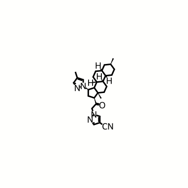 Cc1cnn([C@@H]2C[C@H](C(=O)Cn3cc(C#N)cn3)[C@@]3(C)CC[C@@H]4[C@H]5CC[C@H](C)C[C@H]5CC[C@H]4C23)c1